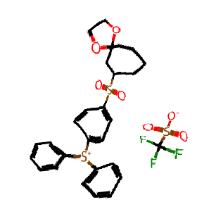 O=S(=O)([O-])C(F)(F)F.O=S(=O)(c1ccc([S+](c2ccccc2)c2ccccc2)cc1)C1CCCC2(C1)OCCO2